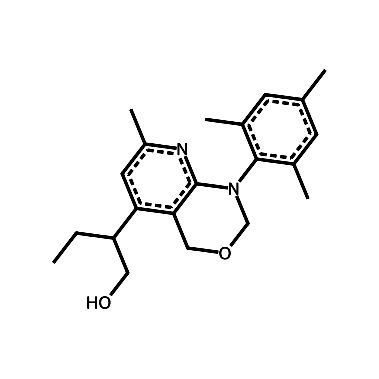 CCC(CO)c1cc(C)nc2c1COCN2c1c(C)cc(C)cc1C